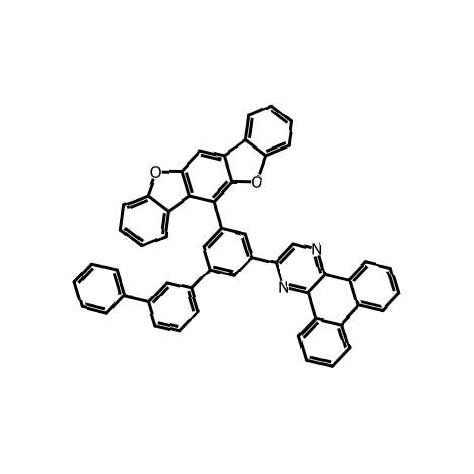 c1ccc(-c2cccc(-c3cc(-c4cnc5c6ccccc6c6ccccc6c5n4)cc(-c4c5oc6ccccc6c5cc5oc6ccccc6c45)c3)c2)cc1